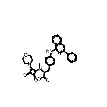 O=C(O)C(Cc1ccc(Nc2nc(-c3ccccc3)cc3ccccc23)cc1)Nc1c(N2CCOCC2)c(=O)c1=O